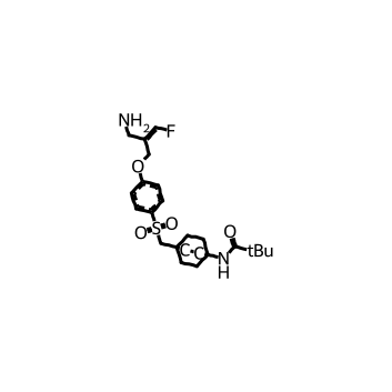 CC(C)(C)C(=O)NC12CCC(CS(=O)(=O)c3ccc(OC/C(=C\F)CN)cc3)(CC1)CC2